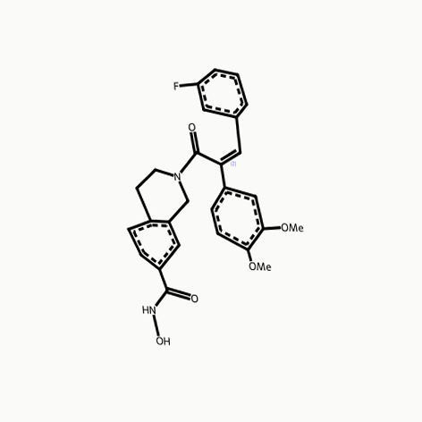 COc1ccc(/C(=C/c2cccc(F)c2)C(=O)N2CCc3ccc(C(=O)NO)cc3C2)cc1OC